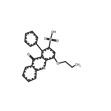 CCCOc1cc(S(=O)(=O)O)c(-c2ccccc2)c2c(=O)c3ccccc3sc12